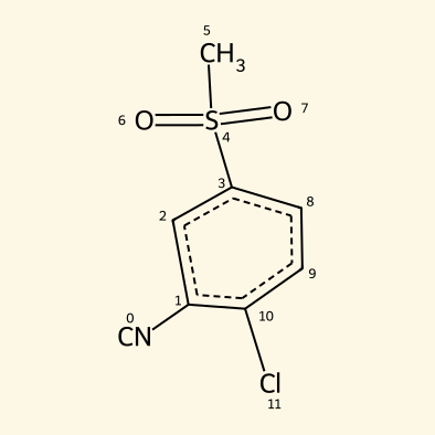 [C-]#[N+]c1cc(S(C)(=O)=O)ccc1Cl